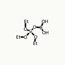 CCO[Si](OCC)(OCC)OB(O)O